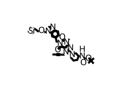 CC#CCn1c(N2CCCC(NC(=O)OC(C)(C)C)C2)nc2c1c(=O)n(Cc1ccc3ncn(COCC[Si](C)(C)C)c3c1)c(=O)n2C